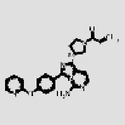 C=CC(=O)N1CC[C@@H](c2nc(-c3ccc(Oc4ccccn4)cc3)n3c(N)nccc23)C1